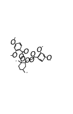 [CH2]C1CCC([CH2])(OOC(=O)c2ccc(OC)cc2OC)C(OOC(=O)c2ccc(OC)cc2OC)C1